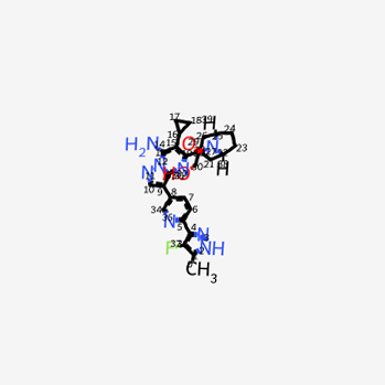 Cc1[nH]nc(-c2ccc(-c3cnn4c(N)c(C5CC5)c(C5C[C@H]6CC[C@@H](C5)N6C(=O)CO)nc34)cn2)c1F